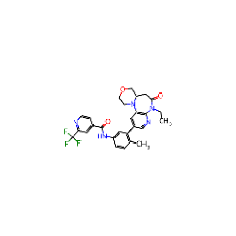 CCN1C(=O)CC2COCCN2c2cc(-c3cc(NC(=O)c4ccnc(C(F)(F)F)c4)ccc3C)cnc21